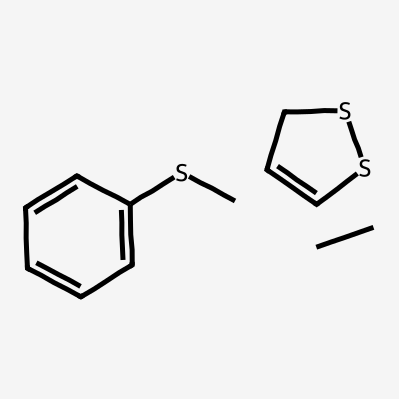 C1=CSSC1.CC.CSc1ccccc1